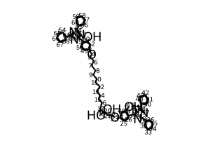 Oc1cc(OCCCCCCCCCCCCCC(O)(O)CCOc2ccc(-c3nc(-c4ccccc4)nc(-c4ccccc4)n3)c(O)c2)ccc1-c1nc(-c2ccccc2)nc(-c2ccccc2)n1